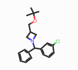 CC(C)(C)OCC1CN(C(c2ccccc2)c2cccc(Cl)c2)C1